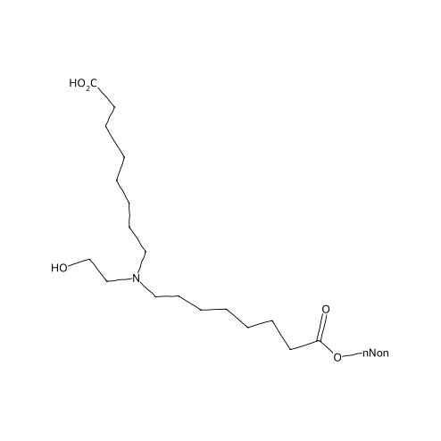 CCCCCCCCCOC(=O)CCCCCCCN(CCO)CCCCCCCC(=O)O